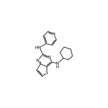 c1cc(Nc2nc(NC3CCCCC3)c3sccc3n2)ccn1